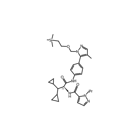 Cc1cnn(COCC[Si](C)(C)C)c1-c1ccc(NC(=O)[C@@H](NC(=O)c2ccnn2C(C)C)C(C2CC2)C2CC2)cc1